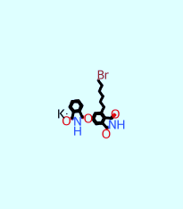 O=C1NC(=O)c2c(CCCCCCBr)cccc21.O=C1NC(=O)c2ccccc21.[K]